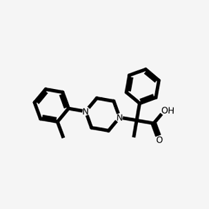 Cc1ccccc1N1CCN(C(C)(C(=O)O)c2ccccc2)CC1